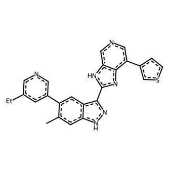 CCc1cncc(-c2cc3c(-c4nc5c(-c6ccsc6)cncc5[nH]4)n[nH]c3cc2C)c1